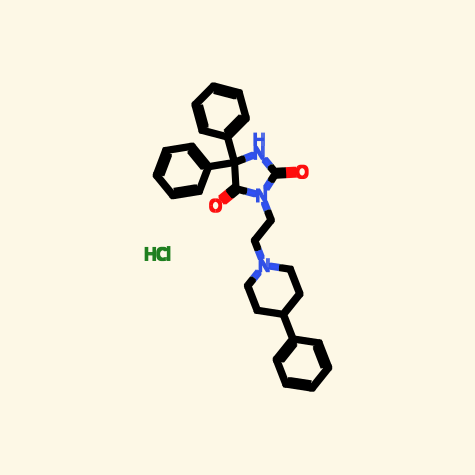 Cl.O=C1NC(c2ccccc2)(c2ccccc2)C(=O)N1CCN1CCC(c2ccccc2)CC1